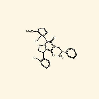 COc1cccc(-c2c3n(c(=O)n(CC(N)c4ccccc4)c2=O)C(c2ccccc2Cl)CS3)c1Cl